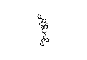 C[C@]12CCC(OCC(CN3CCCC3)N3CCCC3)CC1CC[C@@H]1[C@H]2CC[C@]2(C)C(c3ccoc3)CC[C@@]12O